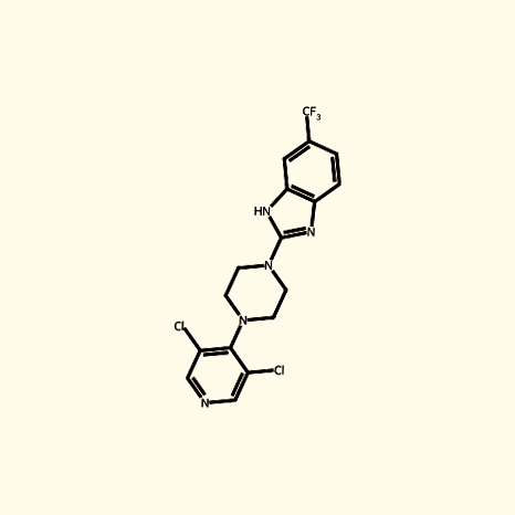 FC(F)(F)c1ccc2nc(N3CCN(c4c(Cl)cncc4Cl)CC3)[nH]c2c1